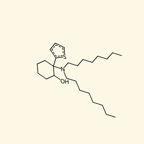 CCCCCCCCN(CCCCCCCC)C1(c2cccs2)CCCCC1O